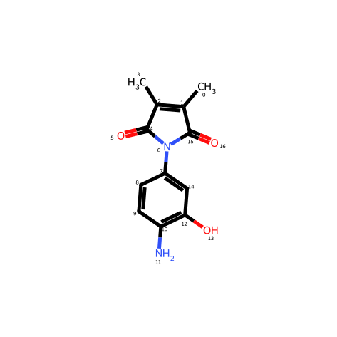 CC1=C(C)C(=O)N(c2ccc(N)c(O)c2)C1=O